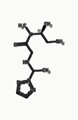 CC(NCC(=O)N(C)[C@@H](C)CN)n1nccn1